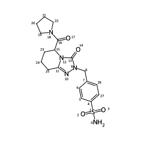 NS(=O)(=O)c1ccc(Cn2nc3n(c2=O)C(C(=O)N2CCCC2)CCC3)cc1